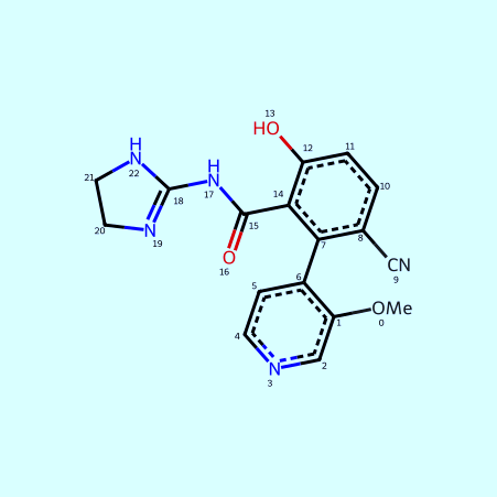 COc1cnccc1-c1c(C#N)ccc(O)c1C(=O)NC1=NCCN1